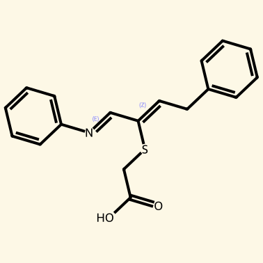 O=C(O)CSC(=C\Cc1ccccc1)/C=N/c1ccccc1